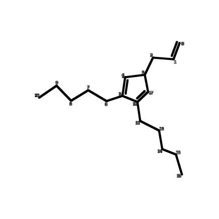 C=CCC1[C]=C(CCCCC)C(CCCCC)=C1